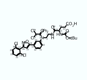 CC(C)[C@@H](CN(C(=O)C(Cl)Cl)c1cccc(-c2cc(-c3c(Cl)cccc3Cl)no2)c1)NC(=O)C(CCC(=O)O)NC(=O)OC(C)(C)C